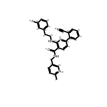 Cc1ccc(CNC(=O)c2ccc(-c3ccccc3C#N)nc2NCCc2cccc(F)c2)cn1